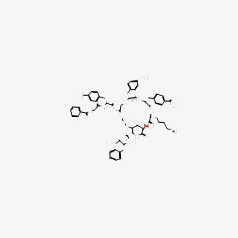 CNCCCC[C@@H]1NC(=O)[C@@H](Cc2ccc(C(N)=O)cc2)NC(=O)[C@H](Cc2ccc(O)cc2)NC(=O)[C@H](NC(=O)[C@H](Cc2ccc(Cl)cc2)NC(=O)CNC(=O)c2ccccc2)CSSC2[C@@H](C(=O)N[C@H](Cc3ccc(O)cc3)C(N)=O)NC(=O)[C@@H](NC1=O)[C@@H]2O